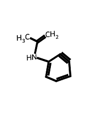 C=C(C)Nc1c#cccc1